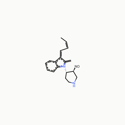 C=c1/c(=C\C=C/C)c2ccccc2n1[C@H]1CCNC[C@@H]1N=O